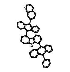 c1ccc(-c2c3ccccc3c(-c3cccc4c3sc3cccc(-c5c6ccccc6c(-c6ccc7cccnc7c6)c6ccccc56)c34)c3ccccc23)cc1